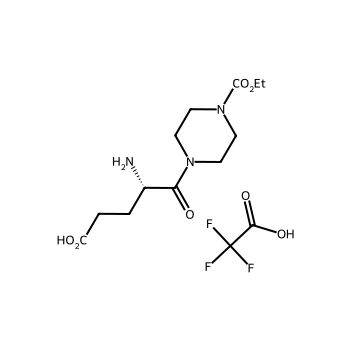 CCOC(=O)N1CCN(C(=O)[C@@H](N)CCC(=O)O)CC1.O=C(O)C(F)(F)F